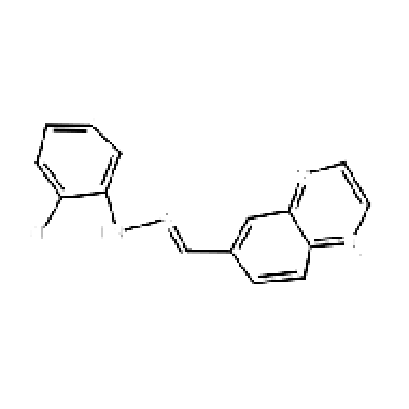 Clc1ccccc1NN=Cc1ccc2nccnc2c1